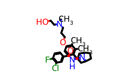 Cc1c(CN2C3CCC2CC(NC(=O)c2ccc(F)c(Cl)c2)C3)ccc(OCCCN(C)CCO)c1C